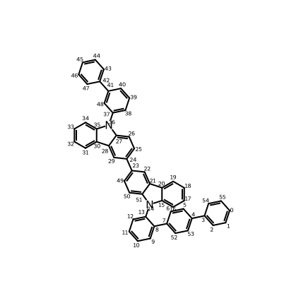 c1ccc(-c2ccc(-c3ccccc3-n3c4ccccc4c4cc(-c5ccc6c(c5)c5ccccc5n6-c5cccc(-c6ccccc6)c5)ccc43)cc2)cc1